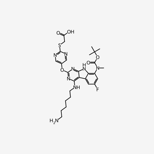 CN(C(=O)OC(C)(C)C)c1cc(F)cc2c1[nH]c1nc(Oc3cnc(SCC(=O)O)nc3)nc(NCCCCCCN)c12